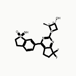 C[C@H]1[C@H](O)CN1c1nc(-c2ccc3c(c2)S(=N)(=O)CC3)c2c(n1)C(F)(F)CC2